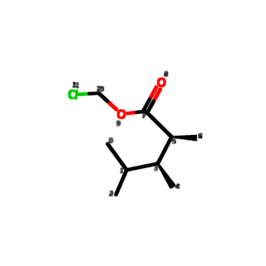 CC(C)[C@H](C)[C@H](C)C(=O)OCCl